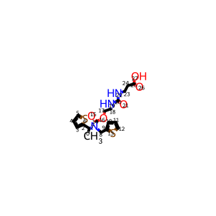 CC(c1cccs1)N(Cc1cccs1)C(=O)OCCNC(=O)NCCC(=O)O